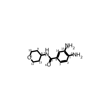 Nc1ccc(C(=O)NC2CCOCC2)cc1N